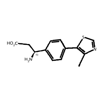 Cc1ncsc1-c1ccc([C@@H](N)CC(=O)O)cc1